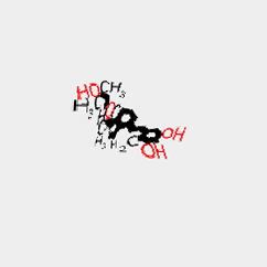 C=C1/C(=C\C=C2CCC[C@@]3(C)C2CC[C@@H]3[C@H](C)OCCC(C)(C)O)C[C@@H](O)C[C@H]1O